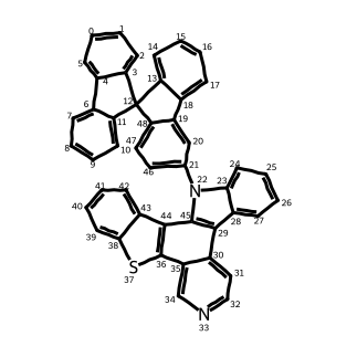 c1ccc2c(c1)-c1ccccc1C21c2ccccc2-c2cc(-n3c4ccccc4c4c5ccncc5c5sc6ccccc6c5c43)ccc21